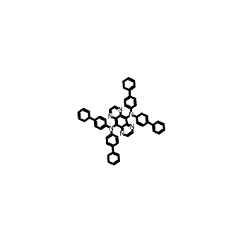 C1=CCCC(c2ccc(N(c3ccc(C4C=CC=CC4)cc3)c3c4nccnc4c(N(c4ccc(C5=CC=CCC5)cc4)C4C=CC(c5ccccc5)=CC4)c4nccnc34)cc2)=C1